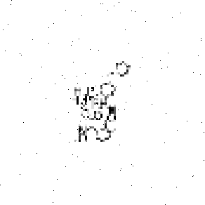 CO/N=C(/C(=O)OC)c1cccc(C)c1CO/N=C(\C)c1ccc(Cc2ccccc2)cc1C(P)(P)P